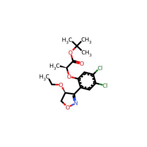 CCO[C@@H]1CON=C1c1cc(Cl)c(Cl)cc1O[C@@H](C)C(=O)OC(C)(C)C